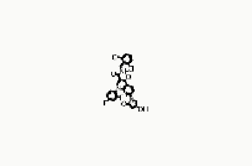 O=C(NCc1c(Cl)cccc1Cl)c1cn(-c2ccc(F)cc2F)c2nc(N3C[C@@H](O)CC3=O)ccc2c1=O